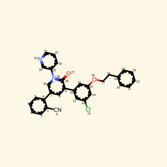 N#Cc1ccccc1-c1cc(-c2cc(Cl)cc(OCCc3ccccc3)c2)c(=O)n(-c2cccnc2)c1